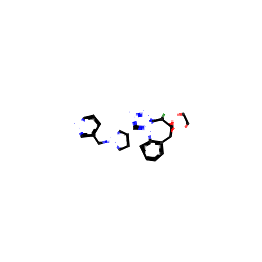 ClC1c2nnc([C@H]3CCN(Cc4cccnc4)C3)n2-c2ccccc2CC12OCCO2